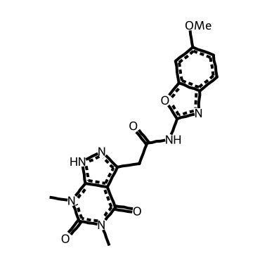 COc1ccc2nc(NC(=O)Cc3n[nH]c4c3c(=O)n(C)c(=O)n4C)oc2c1